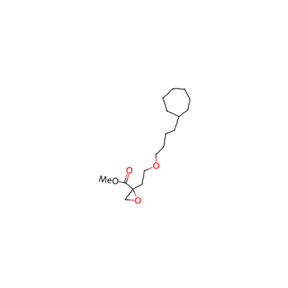 COC(=O)C1(CCOCCCCC2CCCCCC2)CO1